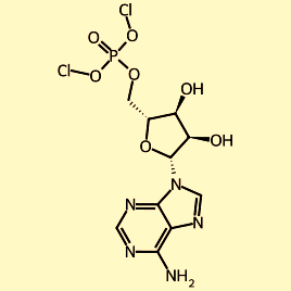 Nc1ncnc2c1ncn2[C@@H]1O[C@H](COP(=O)(OCl)OCl)[C@@H](O)[C@H]1O